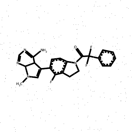 CN1C=C(c2ccc3c(c2F)CCN3C(=O)C(F)(F)c2ccccc2)C2C(N)=NC=NC21